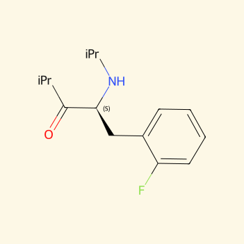 CC(C)N[C@@H](Cc1ccccc1F)C(=O)C(C)C